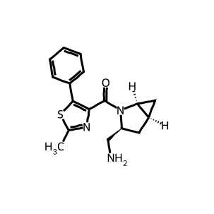 Cc1nc(C(=O)N2[C@H](CN)C[C@@H]3C[C@@H]32)c(-c2ccccc2)s1